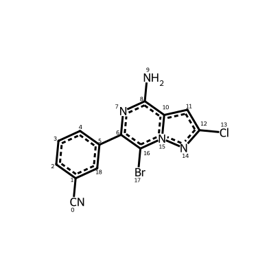 N#Cc1cccc(-c2nc(N)c3cc(Cl)nn3c2Br)c1